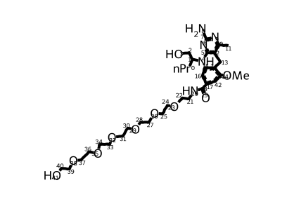 CCCC(CO)Nc1nc(N)nc(C)c1Cc1ccc(C(=O)NCCOCCOCCOCCOCCOCCOCCO)cc1OC